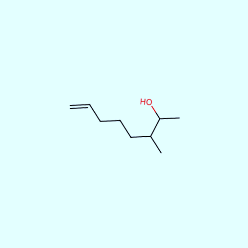 C=CCCCC(C)C(C)O